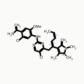 C=C(N)c1cc(OC)c(Nc2ncc(Cl)c(C/C(=C/C=C\C)C3=C(C)[C@H](C)N(C)C3=C)n2)cc1Cl